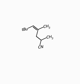 CC(=CC(C)(C)C)CC(C)C#N